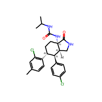 Cc1ccc([C@@H]2CC[C@@]3(NC(=O)NC(C)C)C(=O)NC[C@H]3[C@H]2c2ccc(Cl)cc2)c(Cl)c1